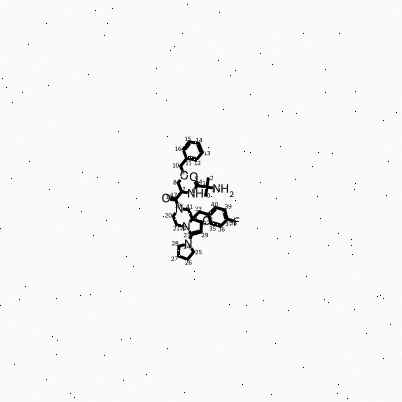 CC(C)(N)C(=O)NC(COCc1ccccc1)C(=O)N1CCN2C(N3CCCC3)=CC(=O)C2(Cc2ccc(F)cc2)C1